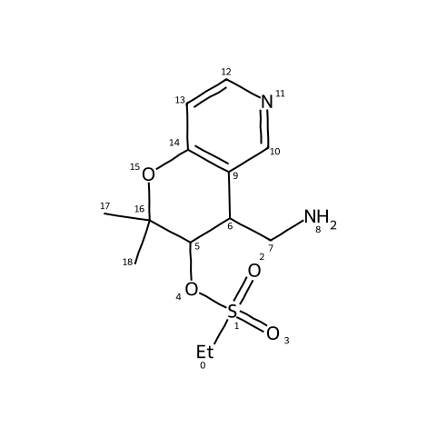 CCS(=O)(=O)OC1C(CN)c2cnccc2OC1(C)C